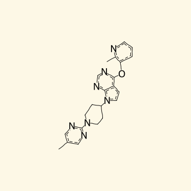 Cc1cnc(N2CCC(n3ccc4c(Oc5cccnc5C)ncnc43)CC2)nc1